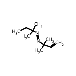 C=CC(C)(C)N=NC(C)(C)CC